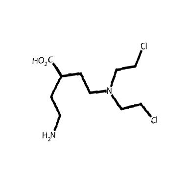 NCCC(CCN(CCCl)CCCl)C(=O)O